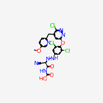 COc1ccc(Cc2cc(Oc3c(Cl)cc(N/N=C(/C#N)C(=O)NC(=O)O)cc3Cl)nnc2Cl)nc1